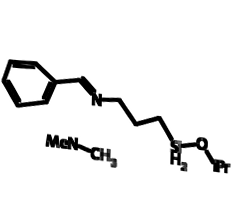 CC(C)O[SiH2]CCCN=Cc1ccccc1.CNC